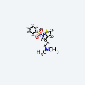 CN(C)CCc1cn(S(=O)(=O)c2ccccc2)c2sccc12